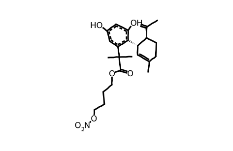 C=C(C)[C@H]1CCC(C)=C[C@@H]1c1c(O)cc(O)cc1C(C)(C)C(=O)OCCCCO[N+](=O)[O-]